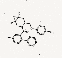 Cc1ccc(-c2ncccn2)c(C(=O)N2C[C@@H]3C[C@@H]3C[C@H]2COc2ccc(C(F)(F)F)cn2)c1